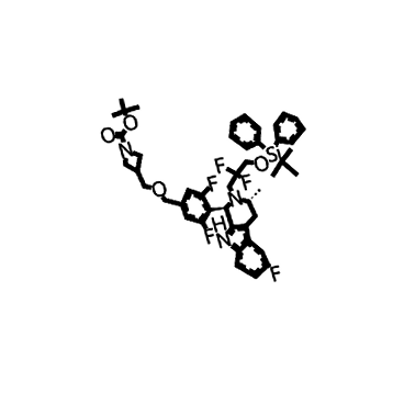 C[C@@H]1Cc2c([nH]c3ccc(F)cc23)[C@@H](c2c(F)cc(COCC3CN(C(=O)OC(C)(C)C)C3)cc2F)N1CC(F)(F)CO[Si](c1ccccc1)(c1ccccc1)C(C)(C)C